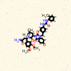 COc1ccc(C(CC(N)=O)NC(=O)C(CC(C)C)N2C(=O)N(Cc3ccc(NC(=O)Nc4ccccc4C)cc3)C3(CCC(=O)CC3)C2=O)cc1OC